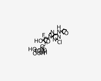 O=P(O)(O)CP(=O)(O)OC[C@H]1O[C@@H](n2cnc3c(N[C@@H]4CCOC4)nc(Cl)nc32)[C@@H](F)[C@@H]1O